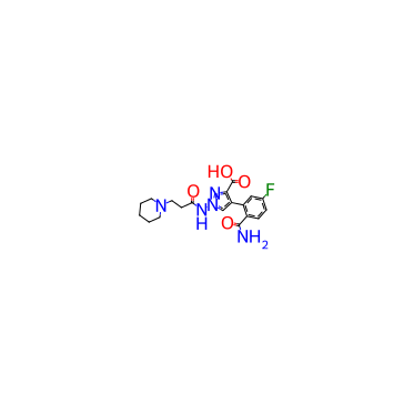 NC(=O)c1ccc(F)cc1-c1cn(NC(=O)CCN2CCCCC2)nc1C(=O)O